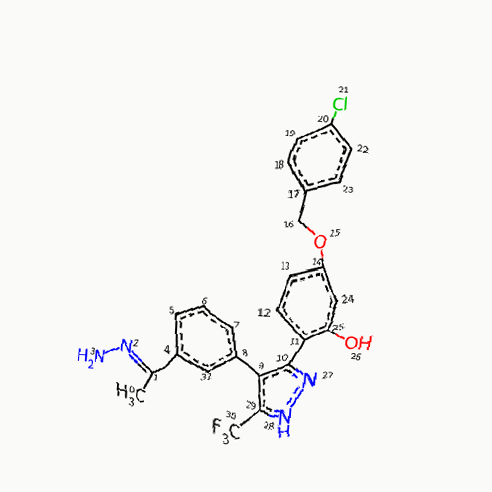 C/C(=N\N)c1cccc(-c2c(-c3ccc(OCc4ccc(Cl)cc4)cc3O)n[nH]c2C(F)(F)F)c1